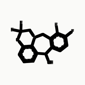 OC1c2ccc(F)c(F)c2CN2CC(F)(F)Oc3cccc1c32